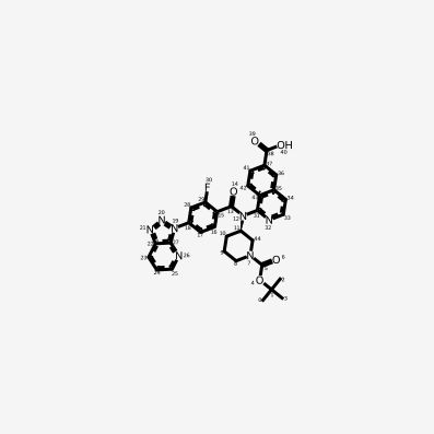 CC(C)(C)OC(=O)N1CCC[C@@H](N(C(=O)c2ccc(-n3nnc4cccnc43)cc2F)c2nccc3cc(C(=O)O)ccc23)C1